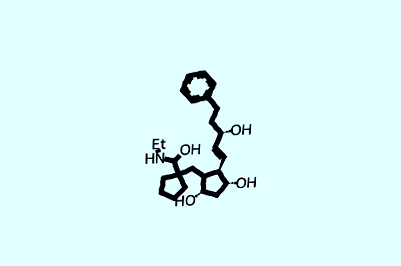 CCNC(O)C1(CC2[C@@H](/C=C/[C@@H](O)CCc3ccccc3)[C@H](O)C[C@@H]2O)CCCC1